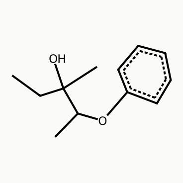 CCC(C)(O)C(C)Oc1ccccc1